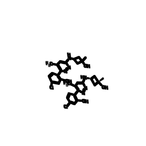 CC1(O)CC(Nc2cc(C(F)(F)F)c(-c3ccc(Cl)cc3O)nn2)C1.C[C@]1(O)C[C@H](Nc2cc(C(F)(F)F)c(-c3ccc(Cl)cc3O)nn2)C1